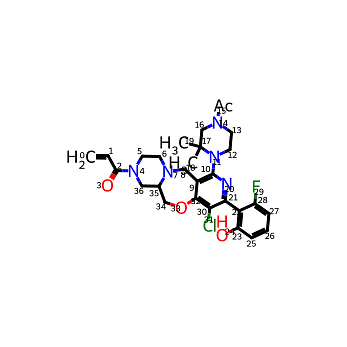 C=CC(=O)N1CCN2Cc3c(N4CCN(C(C)=O)CC4(C)C)nc(-c4c(O)cccc4F)c(Cl)c3OCC2C1